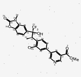 COC(=O)c1cncc(-c2ccc([C@@H](C)[C@@](O)(c3ccc4oc(=O)n(C)c4c3)C(F)(F)F)c(Cl)c2)c1